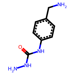 NCc1ccc(NC(=O)NN)cc1